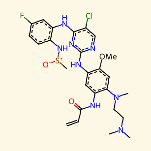 C=CC(=O)Nc1cc(Nc2ncc(Cl)c(Nc3cc(F)ccc3N[S+](C)[O-])n2)c(OC)cc1N(C)CCN(C)C